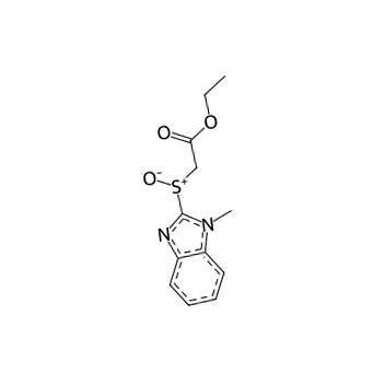 CCOC(=O)C[S+]([O-])c1nc2ccccc2n1C